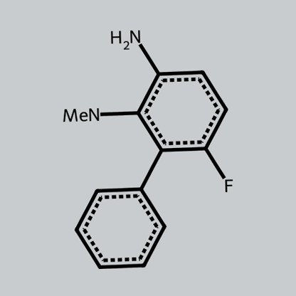 CNc1c(N)ccc(F)c1-c1ccccc1